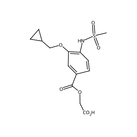 CS(=O)(=O)Nc1ccc(C(=O)OCC(=O)O)cc1OCC1CC1